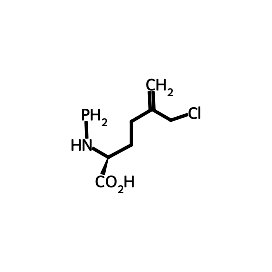 C=C(CCl)CC[C@H](NP)C(=O)O